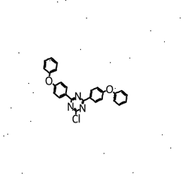 Clc1nc(-c2ccc(Oc3ccccc3)cc2)nc(-c2ccc(Oc3ccccc3)cc2)n1